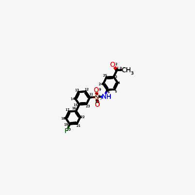 CC(=O)c1ccc(NS(=O)(=O)c2cccc(-c3ccc(F)cc3)c2)cc1